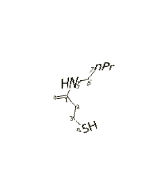 C=C(CCS)NCCCC